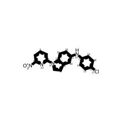 O=[N+]([O-])c1cccc(-n2ccc3cc(Nc4ccc(Cl)cc4)ccc32)n1